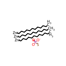 CCCCCCCCCCC[CH2][Zn+].CCCCCCCCCCC[CH2][Zn+].CCCCCCCCCCC[CH2][Zn+].[O-]P([O-])([O-])=S